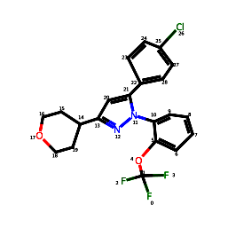 FC(F)(F)Oc1ccccc1-n1nc(C2CCOCC2)cc1-c1ccc(Cl)cc1